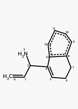 C=CC(N)C1=CCCc2ccccc21